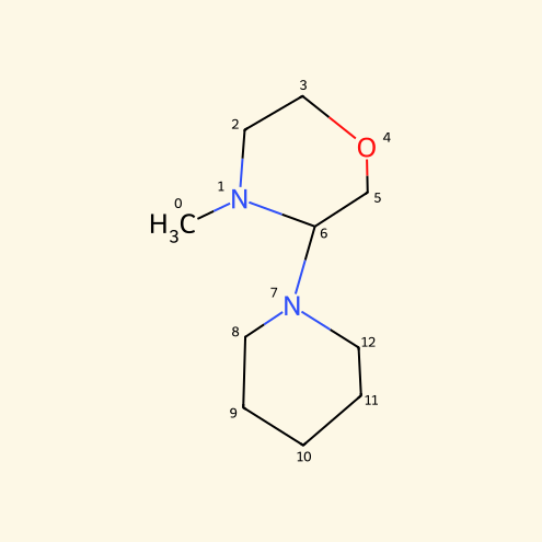 CN1CCOCC1N1CCCCC1